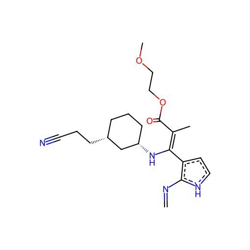 C=Nc1[nH]ccc1/C(N[C@H]1CCC[C@@H](CCC#N)C1)=C(\C)C(=O)OCCOC